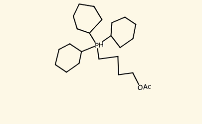 CC(=O)OCCCC[PH](C1CCCCC1)(C1CCCCC1)C1CCCCC1